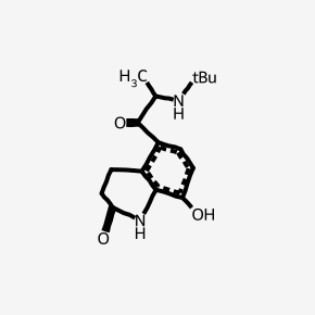 CC(NC(C)(C)C)C(=O)c1ccc(O)c2c1CCC(=O)N2